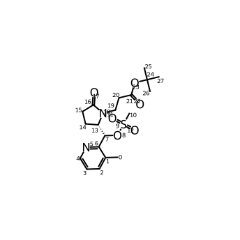 Cc1cccnc1C(OS(C)(=O)=O)[C@@H]1CCC(=O)N1CCC(=O)OC(C)(C)C